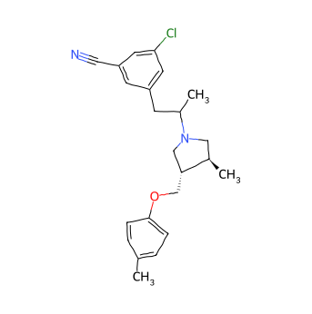 Cc1ccc(OC[C@@H]2CN(C(C)Cc3cc(Cl)cc(C#N)c3)C[C@H]2C)cc1